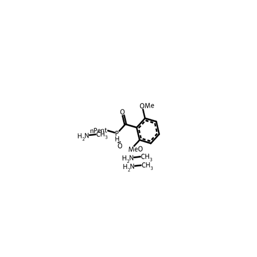 CCCCC[PH](=O)C(=O)c1c(OC)cccc1OC.CN.CN.CN